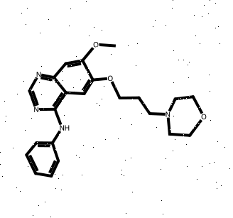 COc1cc2ncnc(Nc3ccccc3)c2cc1OCCCN1CCOCC1